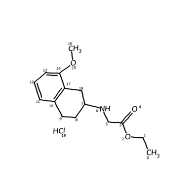 CCOC(=O)CNC1CCc2cccc(OC)c2C1.Cl